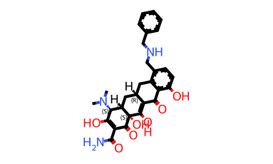 CN(C)[C@@H]1C(O)=C(C(N)=O)C(=O)[C@@]2(O)C(O)=C3C(=O)c4c(O)ccc(CNCc5ccccc5)c4C[C@H]3C[C@@H]12